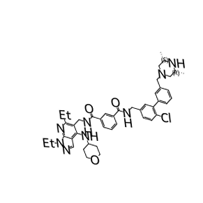 CCc1nc2c(cnn2CC)c(NC2CCOCC2)c1CNC(=O)c1cccc(C(=O)NCc2ccc(Cl)c(-c3cccc(CN4C[C@@H](C)N[C@@H](C)C4)c3)c2)c1